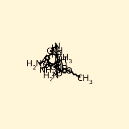 CCCCCCCOc1ccc(C(=O)N[C@@H](CCN)C(=O)N(C)[C@@H]2C(=O)N[C@@H](C)C(=O)N[C@H](C(=O)NCC#N)Cc3ccc(OCCN)c(c3)-c3cc2ccc3OCCN)c(Cl)c1